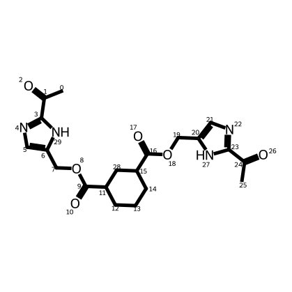 CC(=O)c1ncc(COC(=O)C2CCCC(C(=O)OCc3cnc(C(C)=O)[nH]3)C2)[nH]1